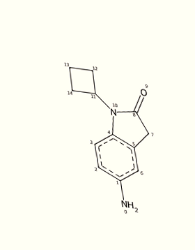 Nc1ccc2c(c1)CC(=O)N2C1CCC1